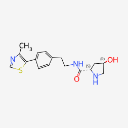 Cc1ncsc1-c1ccc(CCNC(=O)[C@@H]2C[C@@H](O)CN2)cc1